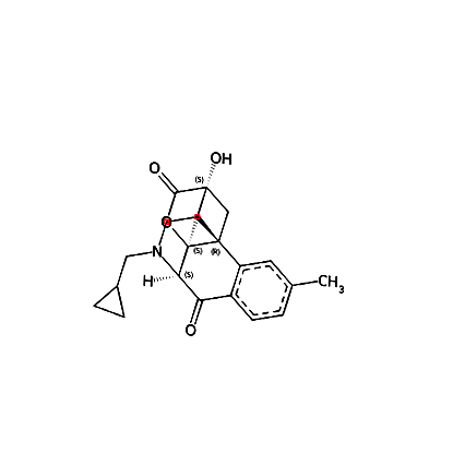 Cc1ccc2c(c1)[C@]13CCN(CC4CC4)[C@H](C2=O)[C@]12CC[C@](O)(C3)C(=O)O2